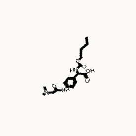 CCCCOC(=O)NC(C(=O)O)c1ccc(NC(=O)CN(C)C)cc1